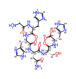 NCC(=O)N[C@@H](Cc1c[nH]cn1)C(=O)N[C@@H](Cc1c[nH]cn1)C(=O)N[C@@H](CC(N)=O)C(=O)N[C@@H](CO)C(=O)N[C@@H](Cc1c[nH]cn1)C(=O)O